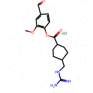 COc1cc(C=O)ccc1OC(=O)C1CCC(CNC(=N)N)CC1.Cl